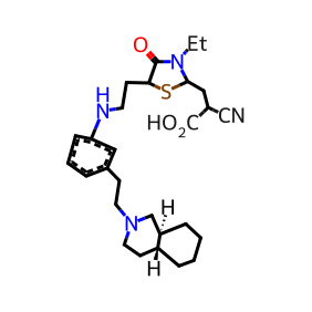 CCN1C(=O)C(CCNc2cccc(CCN3CC[C@H]4CCCC[C@@H]4C3)c2)SC1CC(C#N)C(=O)O